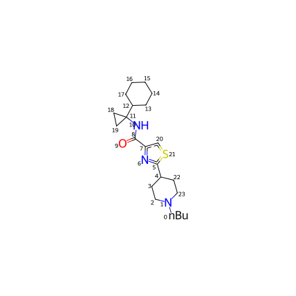 CCCCN1CCC(c2nc(C(=O)NC3(C4CCCCC4)CC3)cs2)CC1